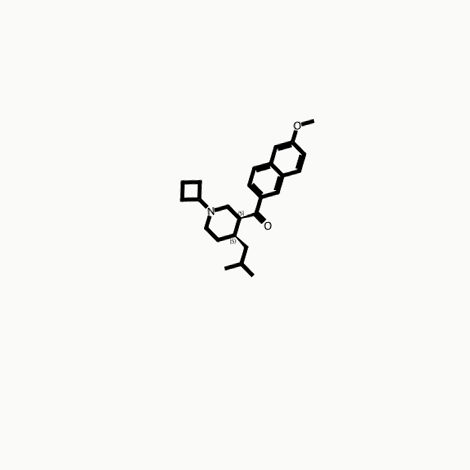 COc1ccc2cc(C(=O)[C@@H]3CN(C4CCC4)CC[C@@H]3CC(C)C)ccc2c1